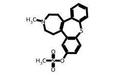 CN1CCC2=C(CC1)c1cc(OS(C)(=O)=O)ccc1Sc1ccccc12